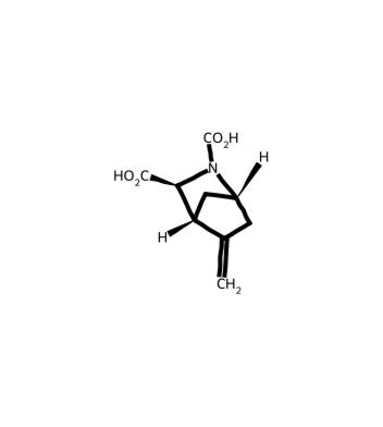 C=C1C[C@@H]2C[C@H]1[C@@H](C(=O)O)N2C(=O)O